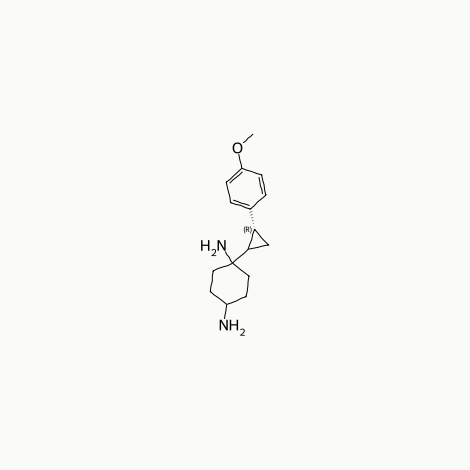 COc1ccc([C@@H]2CC2C2(N)CCC(N)CC2)cc1